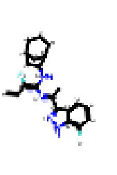 C=C/C(F)=C(\N=C(/C)c1n[nH]c2c(F)cccc12)NC1CC2CCCC1C2